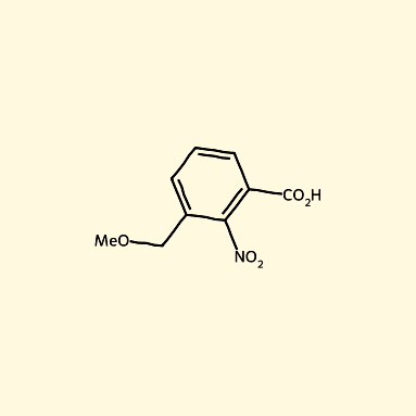 COCc1cccc(C(=O)O)c1[N+](=O)[O-]